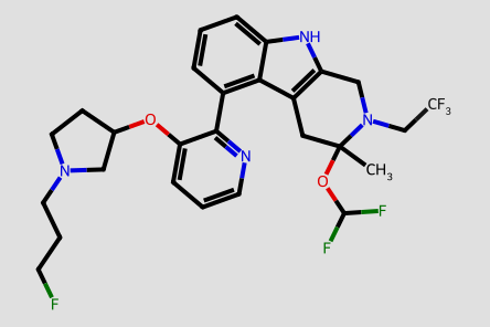 CC1(OC(F)F)Cc2c([nH]c3cccc(-c4ncccc4OC4CCN(CCCF)C4)c23)CN1CC(F)(F)F